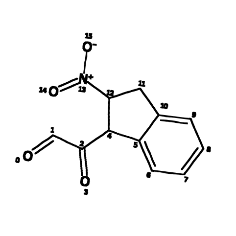 O=CC(=O)C1c2ccccc2CC1[N+](=O)[O-]